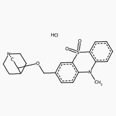 CN1c2ccccc2S(=O)(=O)c2cc(COC3CN4CCC3CC4)ccc21.Cl